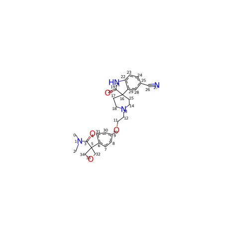 CN(C)C(=O)C1(c2ccc(OCCN3CCC4(CC3)C(=O)Nc3ccc(C#N)cc34)cc2)COC1